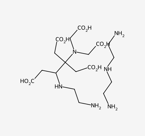 NCCNC(CC(=O)O)C(CC(=O)O)(CC(=O)O)N(CC(=O)O)CC(=O)O.NCCNCCN